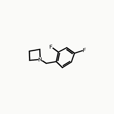 Fc1ccc(CN2CCC2)c(F)c1